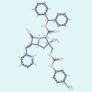 C[C@@]1(COC(=O)Oc2ccc([N+](=O)[O-])cc2)CC2/C(=C\c3ccccn3)C(=O)N2[C@H]1C(=O)OC(c1ccccc1)c1ccccc1